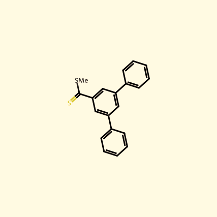 CSC(=S)c1cc(-c2ccccc2)cc(-c2ccccc2)c1